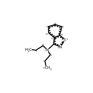 CCCN(CCC)c1nsc2ccccc12